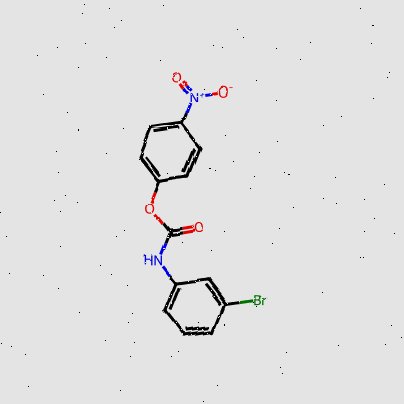 O=C(Nc1cccc(Br)c1)Oc1ccc([N+](=O)[O-])cc1